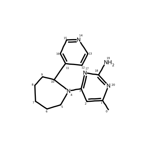 Cc1cc(N2CCCCCC2c2ccncc2)nc(N)n1